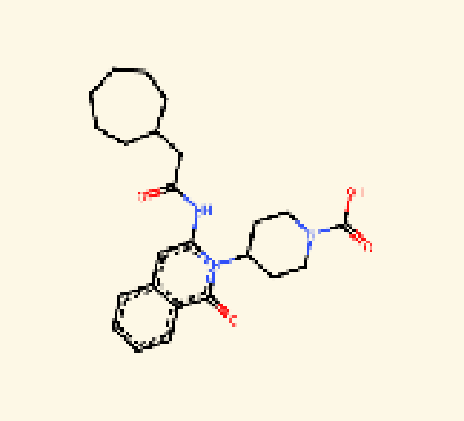 O=C(CC1CCCCCC1)Nc1cc2ccccc2c(=O)n1C1CCN(C(=O)O)CC1